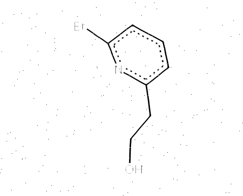 CCc1cccc(CCO)n1